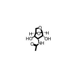 CC(=O)N[C@H]1[C@@H](O)[C@H]2CO[C@H](O2)[C@@H]1O